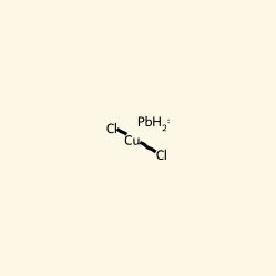 [Cl][Cu][Cl].[PbH2]